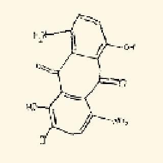 Nc1ccc(O)c2c1C(=O)c1c(O)c(Cl)cc(N)c1C2=O